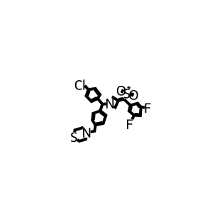 CS(=O)(=O)C(=C1CN(C(c2ccc(Cl)cc2)c2ccc(CN3CCSCC3)cc2)C1)c1cc(F)cc(F)c1